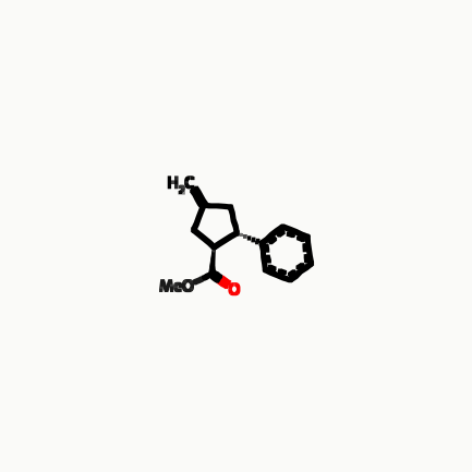 C=C1C[C@H](C(=O)OC)[C@@H](c2ccccc2)C1